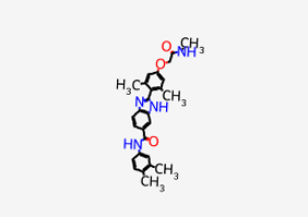 CNC(=O)COc1cc(C)c(-c2nc3ccc(C(=O)Nc4ccc(C)c(C)c4)cc3[nH]2)c(C)c1